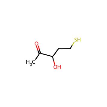 CC(=O)C(O)CCS